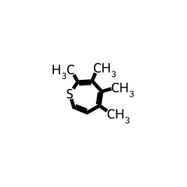 CC1=C(C)C(C)=C(C)SC=C1